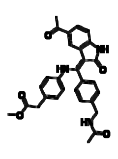 COC(=O)Cc1ccc(NC(=C2C(=O)Nc3ccc(C(C)=O)cc32)c2ccc(CNC(C)=O)cc2)cc1